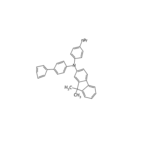 CCCc1ccc(N(c2ccc(-c3ccccc3)cc2)c2ccc3c(c2)C(C)(C)c2ccccc2-3)cc1